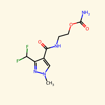 Cn1cc(C(=O)NCCOC(N)=O)c(C(F)F)n1